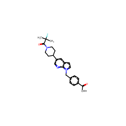 COC(=O)c1ccc(Cn2ccc3cc(C4CCN(C(=O)C(C)(C)F)CC4)cnc32)cc1